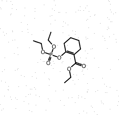 CCOC(=O)C1=C(OP(=O)(OCC)OCC)CCCC1